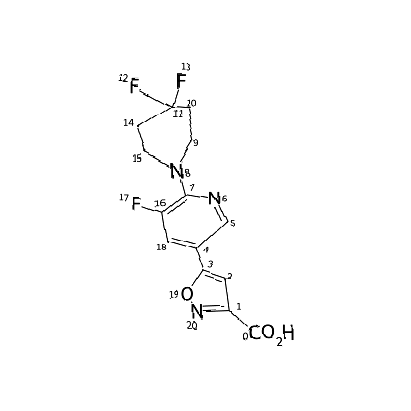 O=C(O)c1cc(-c2cnc(N3CCC(F)(F)CC3)c(F)c2)on1